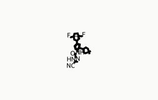 CC1(C)CC=C(c2cc(C3CC4(CF)CCC(CF)(C3)O4)ccc2NC(=O)c2ncc(C#N)[nH]2)CC1